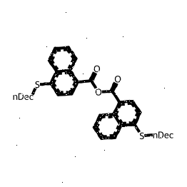 CCCCCCCCCCSc1ccc(C(=O)OC(=O)c2ccc(SCCCCCCCCCC)c3ccccc23)c2ccccc12